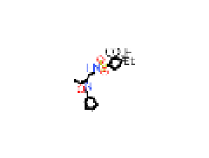 CCc1ccc(S(=O)(=O)NCCc2nc(-c3ccccc3)oc2C)cc1C(=O)O